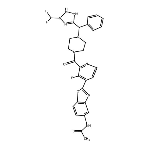 CC(=O)Nc1ccc2oc(-c3ccnc(C(=O)N4CCN(C(C5=NN(C(F)F)NN5)c5ccccc5)CC4)c3F)nc2c1